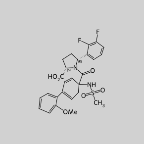 COc1ccccc1C1=CCC(NS(C)(=O)=O)(C(=O)N2[C@@H](c3cccc(F)c3F)CC[C@H]2C(=O)O)C=C1